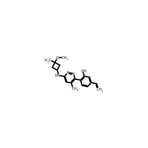 C=Cc1ccc(-c2nnc(NC3CC(C)(OC)C3)cc2C)c(O)c1